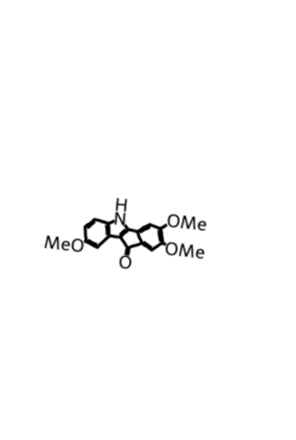 COc1ccc2[nH]c3c(c2c1)C(=O)c1cc(OC)c(OC)cc1-3